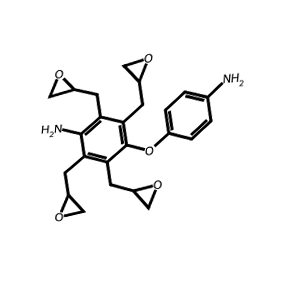 Nc1ccc(Oc2c(CC3CO3)c(CC3CO3)c(N)c(CC3CO3)c2CC2CO2)cc1